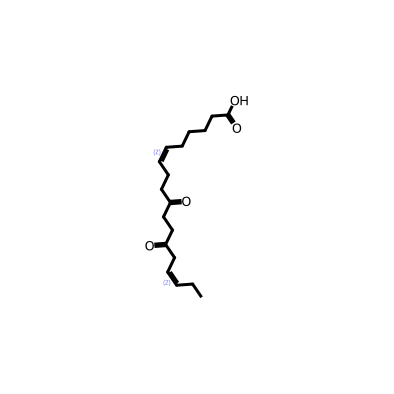 CC/C=C\CC(=O)CCC(=O)CC/C=C\CCCCC(=O)O